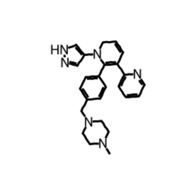 CN1CCN(Cc2ccc(C3=C(c4ccccn4)C=CCN3c3cn[nH]c3)cc2)CC1